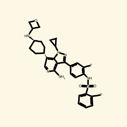 Nc1ncc([C@H]2CC[C@H](NC3COC3)CC2)c2c1c(-c1ccc(NS(=O)(=O)c3ccccc3F)c(F)c1)nn2C1CC1